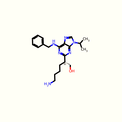 CC(C)n1cnc2c(NCc3ccccc3)nc([C@H](CO)CCCCN)nc21